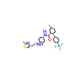 Cc1ccc(-c2ccc(C(F)(F)F)cc2)c(C(=O)Nc2ccc(NCCc3csc(C)n3)cc2)c1